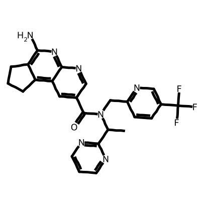 CC(c1ncccn1)N(Cc1ccc(C(F)(F)F)cn1)C(=O)c1cnc2nc(N)c3c(c2c1)CCC3